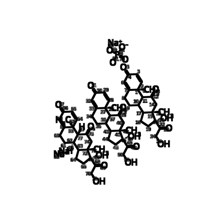 C[C@]12C=CC(=O)C=C1CCC1C2C(=O)C[C@@]2(C)C1CC[C@]2(O)C(=O)CO.C[C@]12C=CC(=O)C=C1CCC1C2C(=O)C[C@@]2(C)C1CC[C@]2(O)C(=O)CO.C[C@]12C=CC(=O)C=C1CC[C@@H]1C3CC[C@](O)(C(=O)CO)[C@@]3(C)CC(=O)[C@H]12.O=P([O-])([O-])[O-].[Na+].[Na+].[Na+]